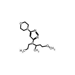 CCCN(c1cc(N2CCOCC2)ncn1)C(C)CCOC